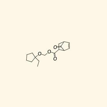 CCC1(OCOC(=O)C2CC3C=CC2C3=O)CCCC1